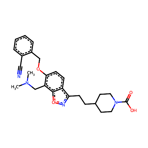 CN(C)Cc1c(OCc2ccccc2C#N)ccc2c(CCC3CCN(C(=O)O)CC3)noc12